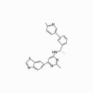 Cc1ccc(-c2cccc([C@H](C)Nc3cc(-c4ccc5ncsc5c4)nc(C)n3)c2)cn1